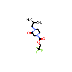 CC(C)CN1CCN(C(=O)OCC(F)(F)F)CC1=O